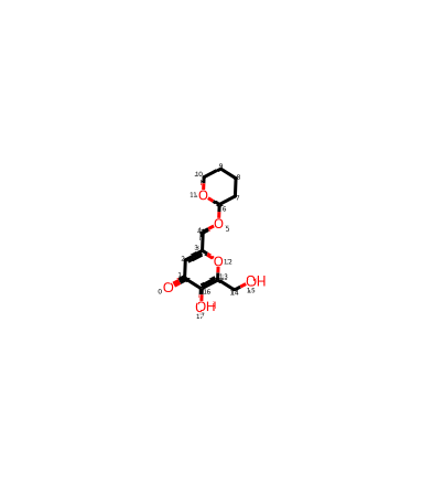 O=c1cc(COC2CCCCO2)oc(CO)c1O